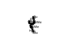 COc1cc(/C=C\C(=O)C(CCN(C)C(=O)OC(C)(C)C)C(=O)/C=C\c2ccc(OCCNC(=O)OC(C)(C)C)c(OC)c2)ccc1OCCNC(=O)OC(C)(C)C